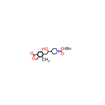 Cc1c(CC(O)C2CCN(C(=O)OC(C)(C)C)CC2)ccc2c1COC2=O